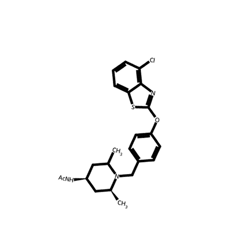 CC(=O)N[C@H]1CC(C)N(Cc2ccc(Oc3nc4c(Cl)cccc4s3)cc2)[C@@H](C)C1